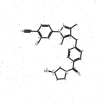 Cc1nn(-c2ccc(C#N)c(Cl)c2)c(C)c1Cc1ccc(C(=O)N2CC[C@@H](O)C2)cc1